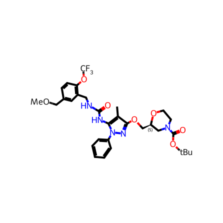 COCc1ccc(OC(F)(F)F)c(CNC(=O)Nc2c(C)c(OC[C@@H]3CN(C(=O)OC(C)(C)C)CCO3)nn2-c2ccccc2)c1